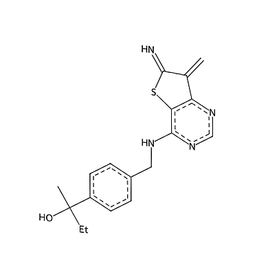 C=C1C(=N)Sc2c(NCc3ccc(C(C)(O)CC)cc3)ncnc21